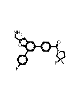 C[C@]1(F)CCN(C(=O)c2ccc(-c3cc(-c4ccc(F)cc4)c4oc(CN)cc4c3)cc2)C1